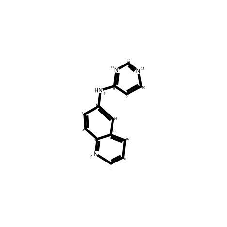 c1cnc2ccc(Nc3ccncn3)cc2c1